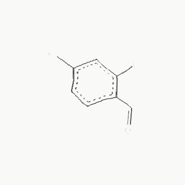 O=Cc1ccc(Cl)cc1I